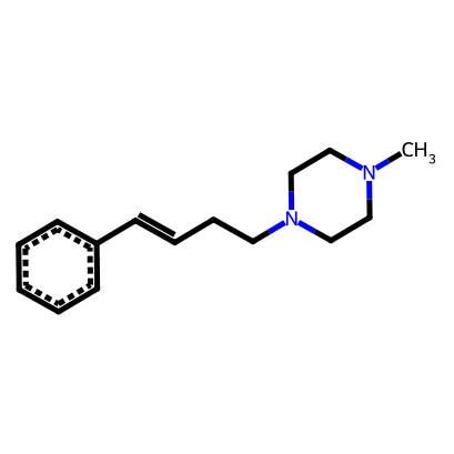 CN1CCN(CCC=Cc2ccccc2)CC1